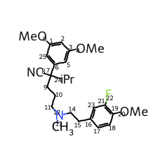 COc1cc(OC)cc(C(C#N)(CCCN(C)CCc2ccc(OC)c(F)c2)C(C)C)c1